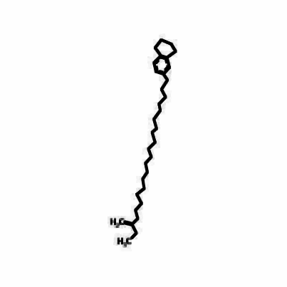 C=C(CC)CCCCCCCCCCCCCCCCCCCc1ccc2c(c1)CCCC2